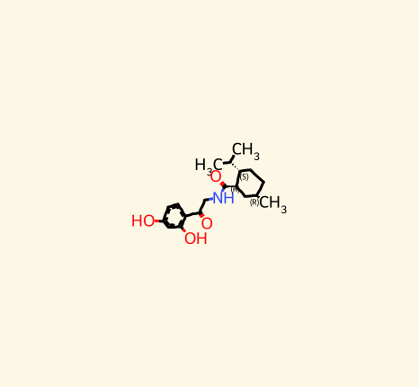 CC(C)[C@@H]1CC[C@@H](C)C[C@H]1C(=O)NCC(=O)c1ccc(O)cc1O